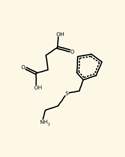 NCCSCc1ccccc1.O=C(O)CCC(=O)O